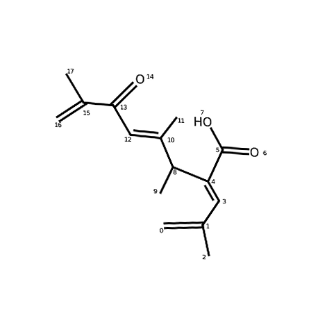 C=C(C)/C=C(/C(=O)O)C(C)/C(C)=C/C(=O)C(=C)C